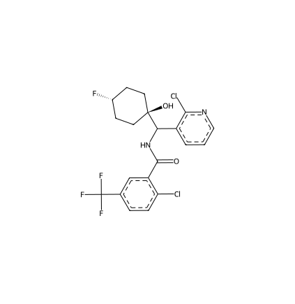 O=C(NC(c1cccnc1Cl)[C@]1(O)CC[C@H](F)CC1)c1cc(C(F)(F)F)ccc1Cl